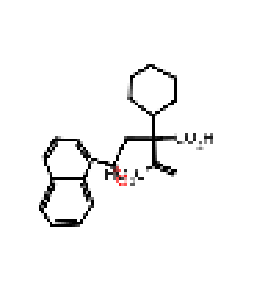 C=C(C(=O)O)C(CC(=O)c1cccc2ccccc12)(C(=O)O)C1CCCCC1